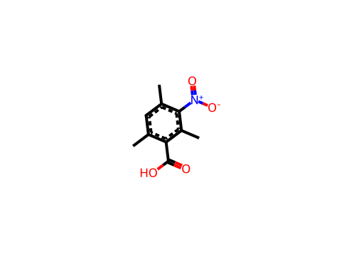 Cc1cc(C)c([N+](=O)[O-])c(C)c1C(=O)O